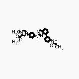 C=CC(=O)Nc1cccc(-c2cccc3cnc(Nc4ccc(N5CCN(C)C(C(=O)OC)C5)cc4)nc23)c1